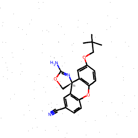 CC(C)(C)COc1ccc2c(c1)[C@]1(COC(N)=N1)c1cc(C#N)ccc1O2